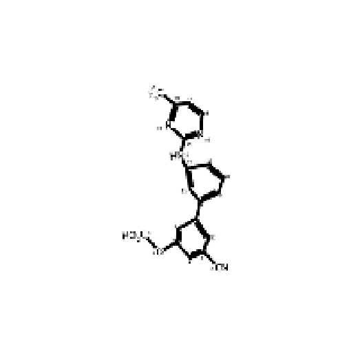 N#Cc1cc(OC(=O)O)cc(-c2cccc(Nc3nccc(C(F)(F)F)n3)c2)c1